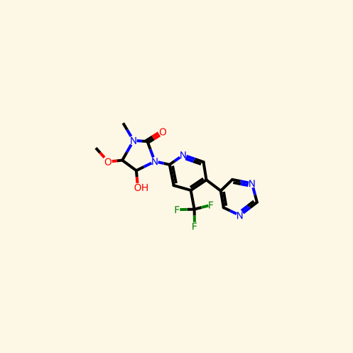 COC1C(O)N(c2cc(C(F)(F)F)c(-c3cncnc3)cn2)C(=O)N1C